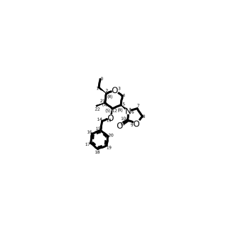 CC[C@H]1OC[C@@H](N2CCOC2=O)[C@@H](OCc2ccccc2)[C@H]1C